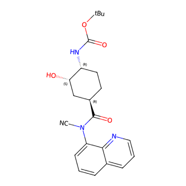 CC(C)(C)OC(=O)N[C@@H]1CC[C@@H](C(=O)N(C#N)c2cccc3cccnc23)C[C@@H]1O